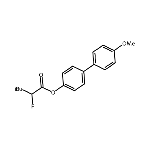 CCC(C)C(F)C(=O)Oc1ccc(-c2ccc(OC)cc2)cc1